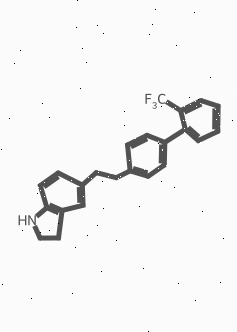 FC(F)(F)c1ccccc1-c1ccc(CCc2ccc3c(c2)CCN3)cc1